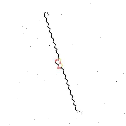 CCCCCCCCCCCCCCCCCCSOSCCCCCCCCCCCCCCCCCC.OCCO